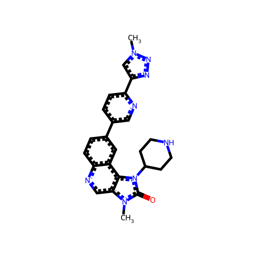 Cn1cc(-c2ccc(-c3ccc4ncc5c(c4c3)n(C3CCNCC3)c(=O)n5C)cn2)nn1